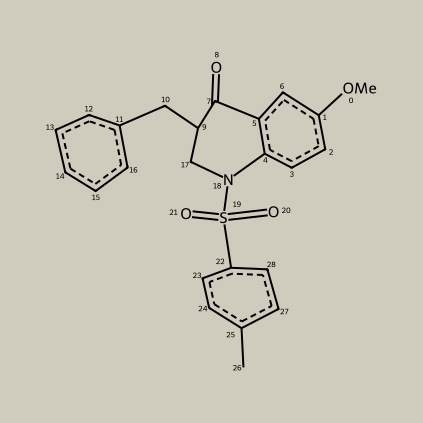 COc1ccc2c(c1)C(=O)C(Cc1ccccc1)CN2S(=O)(=O)c1ccc(C)cc1